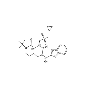 CCCCN(C(=O)[C@H](CS(=O)(=O)CC1CC1)NC(=O)OC(C)(C)C)[C@@H](O)c1nc2ccccc2o1